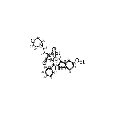 CCOc1ccc2[nH]c3c(c2c1)CC1(CC)C(=O)N(CCN2CCOCC2)C(=O)N1C3c1ccccc1